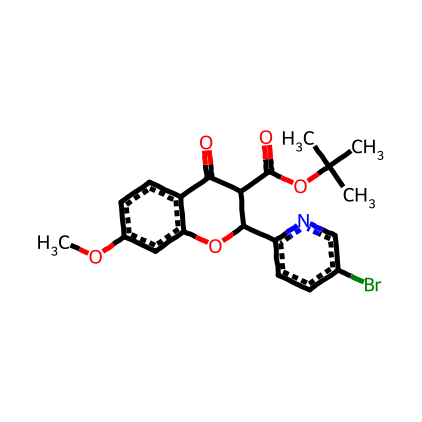 COc1ccc2c(c1)OC(c1ccc(Br)cn1)C(C(=O)OC(C)(C)C)C2=O